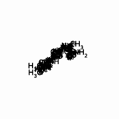 COC(=O)N[C@H](C(=O)N1[C@@H](C)CC[C@H]1c1ncc(-c2cc3c4c(c2)OCc2cc(-c5cnc([C@@H]6C[C@H](C)CN6C(=O)[C@H](OC(N)=O)c6ccccc6)[nH]5)cc(c2-4)OC3)[nH]1)C(C)C